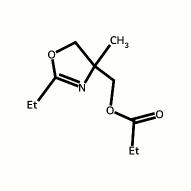 CCC(=O)OCC1(C)COC(CC)=N1